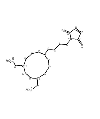 O=C(O)CN1CCCC(CCCCN2C(=O)C=CC2=O)CCCN(CC(=O)O)CC1